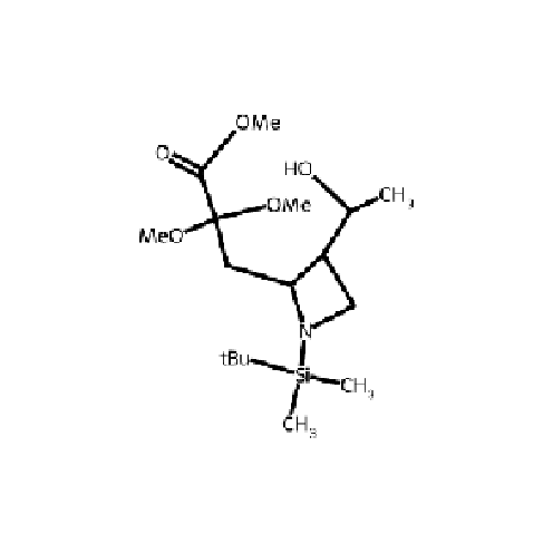 COC(=O)C(CC1C(C(C)O)CN1[Si](C)(C)C(C)(C)C)(OC)OC